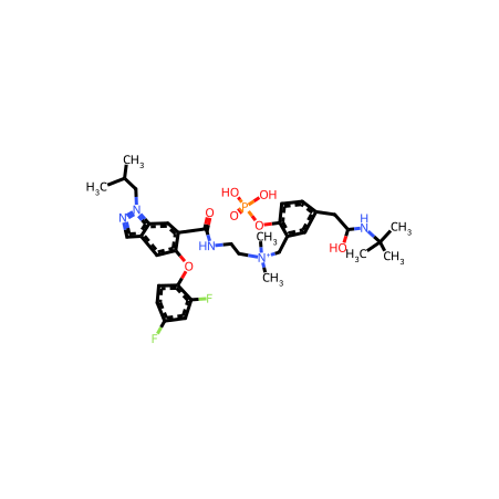 CC(C)Cn1ncc2cc(Oc3ccc(F)cc3F)c(C(=O)NCC[N+](C)(C)Cc3cc(CC(O)NC(C)(C)C)ccc3OP(=O)(O)O)cc21